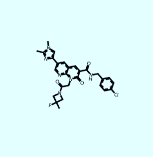 Cc1nc(-c2cnc3c(c2)cc(C(=O)NCc2ccc(Cl)cc2)c(=O)n3CC(=O)N2CC(C)(F)C2)cn1C